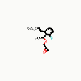 CCOC(=O)/C=C/c1cccc(F)c1C(C)OCC1CO1